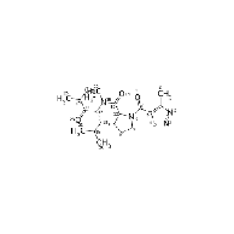 Cc1nnsc1C(=O)N1CCCC1C(=O)N(C)[C@H](CC(C)C)C(=O)C(C)C